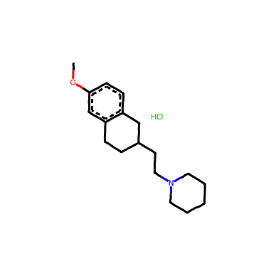 COc1ccc2c(c1)CCC(CCN1CCCCC1)C2.Cl